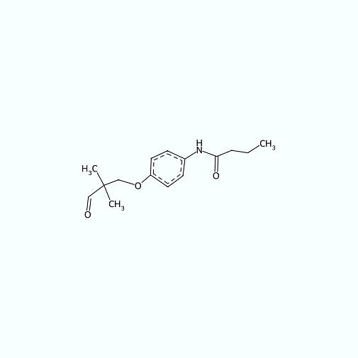 CCCC(=O)Nc1ccc(OCC(C)(C)C=O)cc1